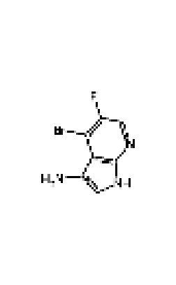 Nc1c[nH]c2ncc(F)c(Br)c12